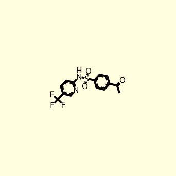 CC(=O)c1ccc(S(=O)(=O)Nc2ccc(C(F)(F)F)cn2)cc1